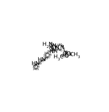 CCOP(=O)(CCCN1CCCN(c2nc(N)nc(NC[C@H]3CC[C@H](CNCCCNC4CCCCC4)CC3)n2)CC1)OCC